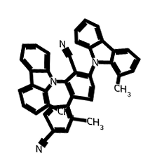 Cc1cc(C#N)ccc1-c1ccc(-n2c3ccccc3c3cccc(C)c32)c(C#N)c1-n1c2ccccc2c2cccc(C)c21